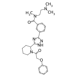 CN(C)CCN(C)C(=O)c1cccc(-c2n[nH]c(C3CCCCN3C(=O)COc3ccccc3)n2)c1